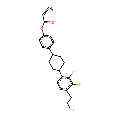 C=CC(=O)Oc1ccc(C2CCC(c3ccc(CCC)c(F)c3F)CC2)cc1